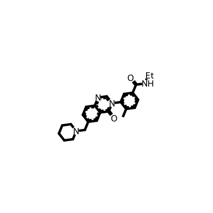 CCNC(=O)c1ccc(C)c(-n2cnc3ccc(CN4CCCCC4)cc3c2=O)c1